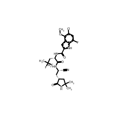 COc1c(Cl)cc(F)c2[nH]c(C(=O)N[C@@H](CC(C)(C)F)C(=O)N[C@H](C#N)C[C@@H]3CC(C)(C)NC3=O)cc12